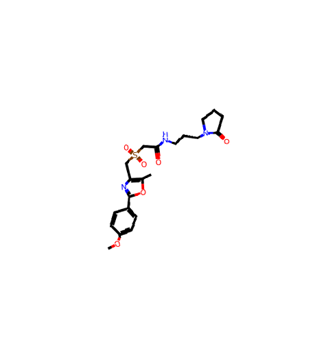 COc1ccc(-c2nc(CS(=O)(=O)CC(=O)NCCCN3CCCC3=O)c(C)o2)cc1